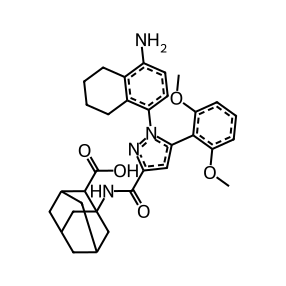 COc1cccc(OC)c1-c1cc(C(=O)NC23CC4CC(CC(C4)C2C(=O)O)C3)nn1-c1ccc(N)c2c1CCCC2